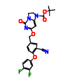 CC(C)(C)OC(=O)N1CCn2c1cc(OCc1ccc(Oc3ccc(F)c(F)c3)c(C#N)c1)nc2=O